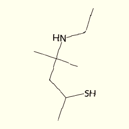 CCNC(C)(C)CC(C)S